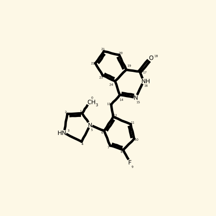 CC1=CNCN1c1cc(F)ccc1Cc1n[nH]c(=O)c2ccccc12